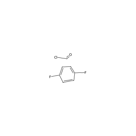 Fc1ccc(F)cc1.O=CCl